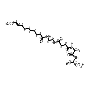 CCCCCCCCC=CCCCCCCCC(=O)NCCNC(=O)CCC(=O)N[C@@H](C)C(=O)N[C@H](C(=O)O)C(C)C